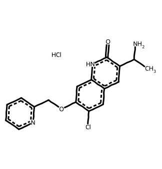 CC(N)c1cc2cc(Cl)c(OCc3ccccn3)cc2[nH]c1=O.Cl